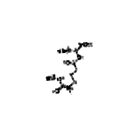 CCCCCCCCC(CCCCCCC)OC(=O)CCCN(C)C(=O)OC(C)(C)C